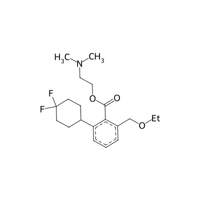 CCOCc1cccc(C2CCC(F)(F)CC2)c1C(=O)OCCN(C)C